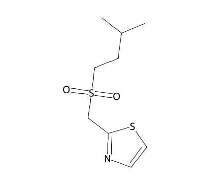 CC(C)CCS(=O)(=O)Cc1nccs1